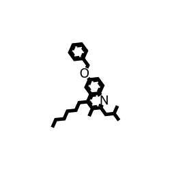 CCCCCCc1c(C)c(CC(C)C)nc2ccc(OCc3ccccc3)cc12